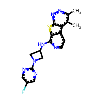 Cc1nnc2sc3c(NC4CN(c5ncc(F)cn5)C4)nccc3c2c1C